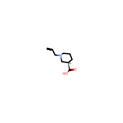 C=CCN1CCC[C@@H](C(=O)O)C1